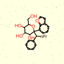 CCCC(c1ccccc1)C1(c2cccc3ccoc23)OC(CO)C(O)C(O)C1O